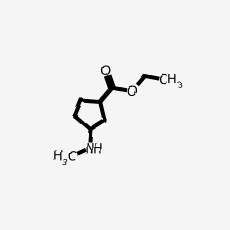 CCOC(=O)C1CCC(NC)C1